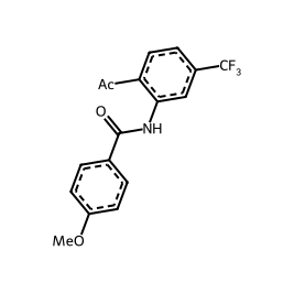 COc1ccc(C(=O)Nc2cc(C(F)(F)F)ccc2C(C)=O)cc1